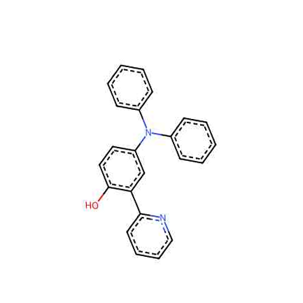 Oc1ccc(N(c2ccccc2)c2ccccc2)cc1-c1ccccn1